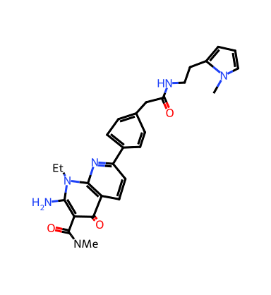 CCn1c(N)c(C(=O)NC)c(=O)c2ccc(-c3ccc(CC(=O)NCCc4cccn4C)cc3)nc21